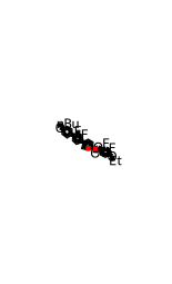 CCCCOC1CCC(c2ccc(-c3ccc(C(=O)Oc4ccc(OCC)c(F)c4F)cc3)c(F)c2F)CC1